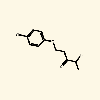 CC(Br)C(=O)CCOc1ccc(Cl)cc1